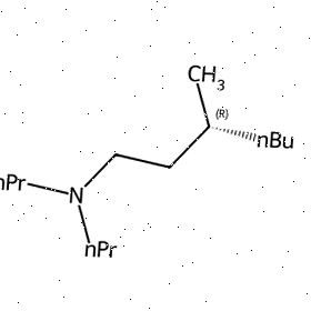 CCCC[C@@H](C)CCN(CCC)CCC